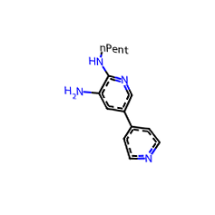 CCCCCNc1ncc(-c2ccncc2)cc1N